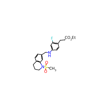 CCOC(=O)CCc1ccc(NCc2ccc3c(c2)N(S(C)(=O)=O)CCC3)cc1F